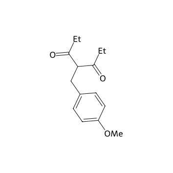 CCC(=O)C(Cc1ccc(OC)cc1)C(=O)CC